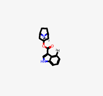 [2H]c1cccc2[nH]cc(C(=O)OC3CC4CCC(C3)N4C)c12